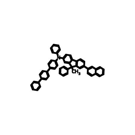 CC1(c2ccccc2)c2cc(-c3ccc4ccccc4c3)ccc2-c2ccc(N(c3ccccc3)c3ccc(-c4ccc(-c5ccccc5)cc4)cc3)cc21